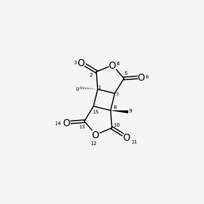 C[C@]12C(=O)OC(=O)C1[C@]1(C)C(=O)OC(=O)C21